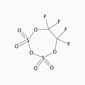 O=S1(=O)OC(F)(F)C(F)(F)OS(=O)(=O)O1